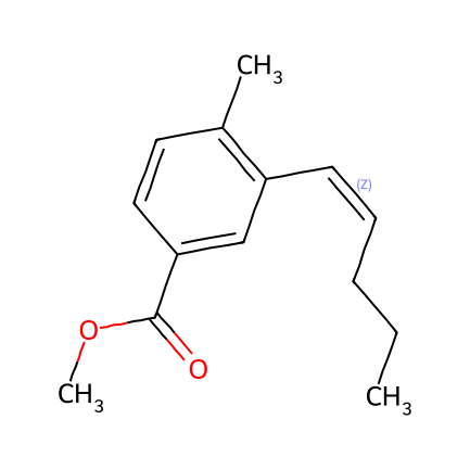 CCC/C=C\c1cc(C(=O)OC)ccc1C